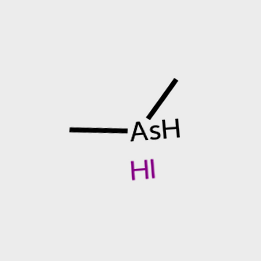 C[AsH]C.I